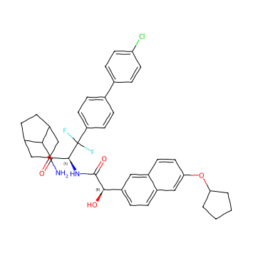 NC1CC2CCC(C1)C2C(=O)[C@H](NC(=O)[C@H](O)c1ccc2cc(OC3CCCC3)ccc2c1)C(F)(F)c1ccc(-c2ccc(Cl)cc2)cc1